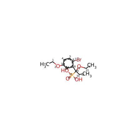 CCOc1ccc(Br)c(C(CC)(OCC)P(=O)(O)O)c1